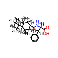 [2H]C(NC(=O)[C@]1([2H])C([2H])([2H])C([2H])([2H])[C@@]([2H])(C([2H])(C([2H])([2H])[2H])C([2H])([2H])[2H])C([2H])([2H])C1([2H])[2H])(C(=O)O)C([2H])([2H])c1ccccc1